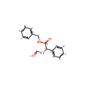 O=[C]OC(C(=O)OCc1ccccc1)c1ccccc1